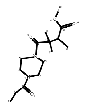 CCC(=O)N1CCN(C(=O)C(C)(C)C(C)C(=O)OI)CC1